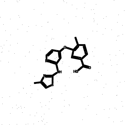 Cc1csc(Nc2cc(Oc3cc(C(=O)O)ccc3C)ccn2)n1